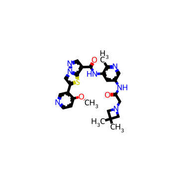 COc1ccncc1-c1cn2ncc(C(=O)Nc3cc(NC(=O)CN4CC(C)(C)C4)cnc3C)c2s1